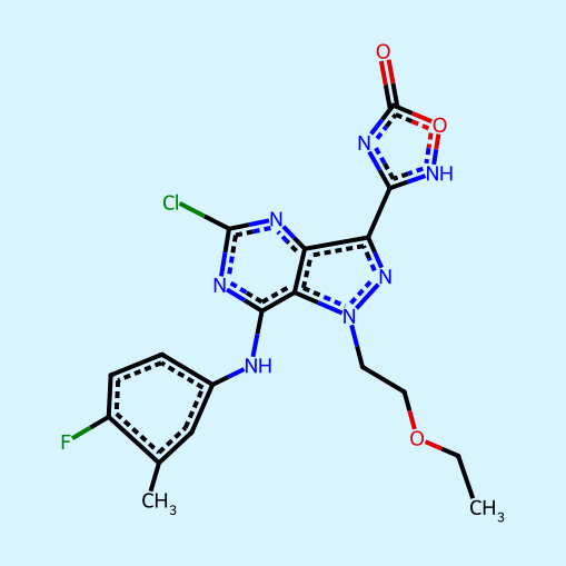 CCOCCn1nc(-c2nc(=O)o[nH]2)c2nc(Cl)nc(Nc3ccc(F)c(C)c3)c21